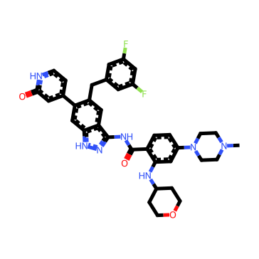 CN1CCN(c2ccc(C(=O)Nc3n[nH]c4cc(-c5cc[nH]c(=O)c5)c(Cc5cc(F)cc(F)c5)cc34)c(NC3CCOCC3)c2)CC1